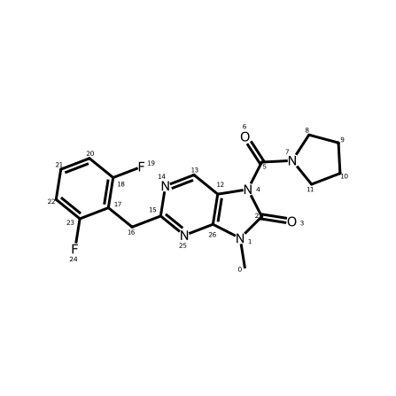 Cn1c(=O)n(C(=O)N2CCCC2)c2cnc(Cc3c(F)cccc3F)nc21